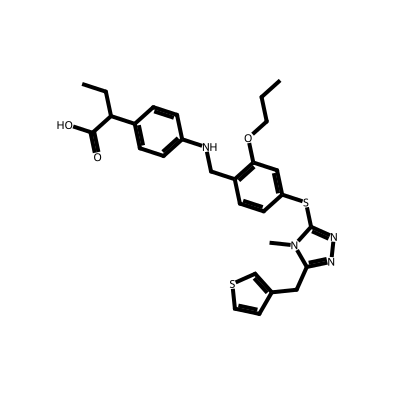 CCCOc1cc(Sc2nnc(Cc3ccsc3)n2C)ccc1CNc1ccc(C(CC)C(=O)O)cc1